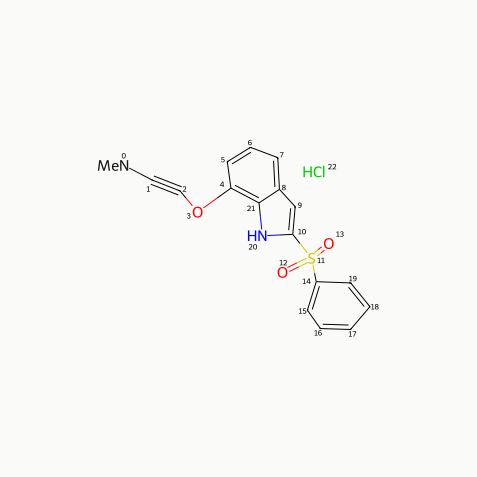 CNC#COc1cccc2cc(S(=O)(=O)c3ccccc3)[nH]c12.Cl